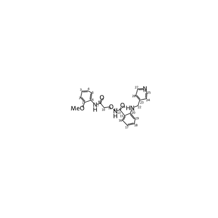 COc1ccccc1NC(=O)CONC(=O)c1ccccc1NCc1ccncc1